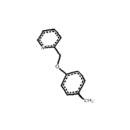 [CH2]c1ccc(OCc2ccccn2)cc1